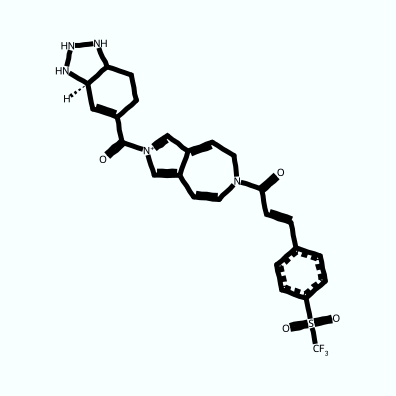 O=C(/C=C/c1ccc(S(=O)(=O)C(F)(F)F)cc1)N1C=CC2=C[N+](C(=O)C3=C[C@H]4NNNC4CC3)=CC2=CC1